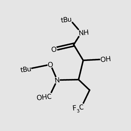 CC(C)(C)NC(=O)C(O)C(CC(F)(F)F)N(C=O)OC(C)(C)C